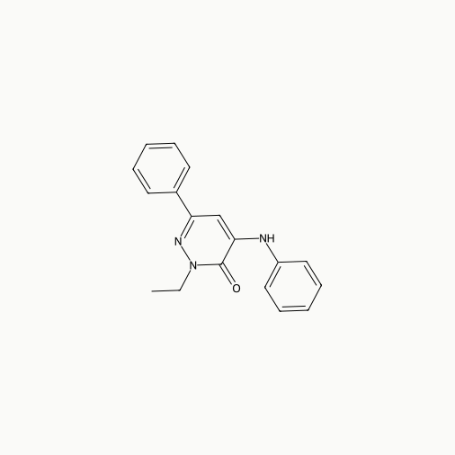 CCn1nc(-c2ccccc2)cc(Nc2ccccc2)c1=O